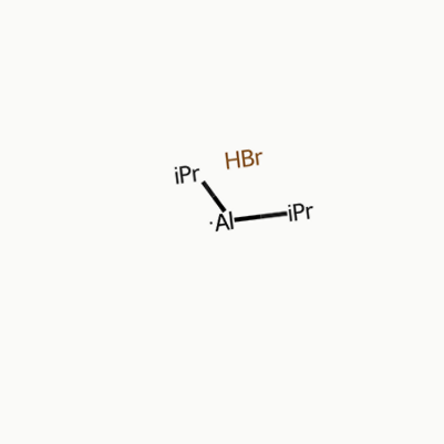 Br.C[CH](C)[Al][CH](C)C